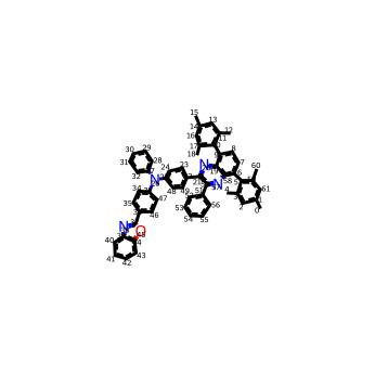 Cc1cc(C)c(-c2ccc(-c3c(C)cc(C)cc3C)c3nc(-c4ccc(N(c5ccccc5)c5ccc(-c6nc7ccccc7o6)cc5)cc4)c(-c4ccccc4)nc23)c(C)c1